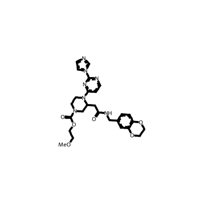 COCCOC(=O)N1CCN(c2ccnc(-n3ccnc3)n2)C(CC(=O)NCc2ccc3c(c2)OCCO3)C1